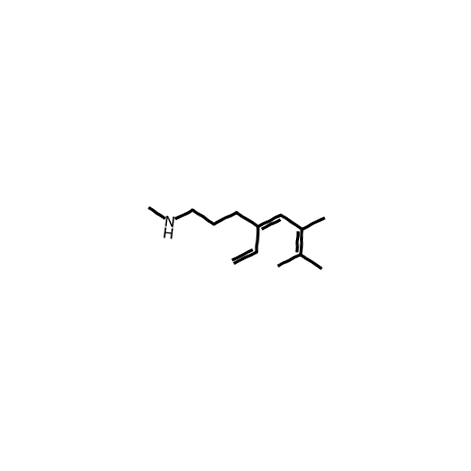 C=C/C(=C\C(C)=C(C)C)CCCNC